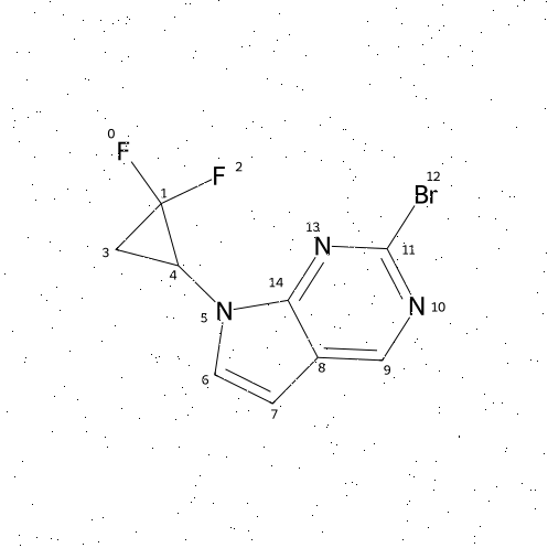 FC1(F)CC1n1ccc2cnc(Br)nc21